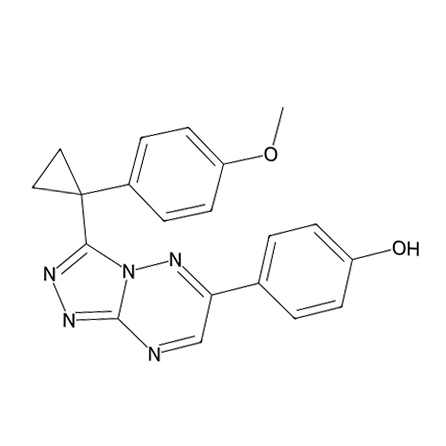 COc1ccc(C2(c3nnc4ncc(-c5ccc(O)cc5)nn34)CC2)cc1